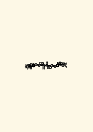 CC(C)(O)CC(=O)c1ccc(OCCOC(=O)CC(=O)NCCNC(=O)CC(=O)OCCOc2ccc(C(=O)C(C)(C)O)cc2)cc1